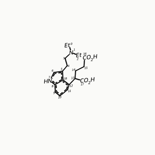 CCN(CC)CCc1c[nH]c2cccc(C(CCC(=O)O)C(=O)O)c12